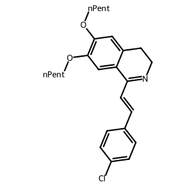 CCCCCOc1cc2c(cc1OCCCCC)C(/C=C/c1ccc(Cl)cc1)=NCC2